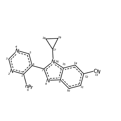 CCCc1ncncc1-c1nc2ccc(C#N)cc2n1C1CC1